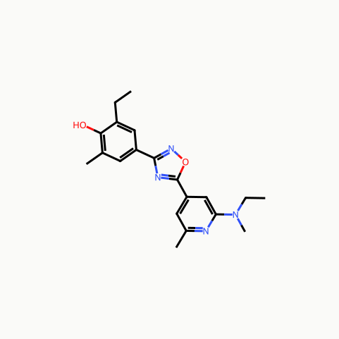 CCc1cc(-c2noc(-c3cc(C)nc(N(C)CC)c3)n2)cc(C)c1O